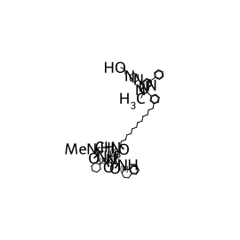 CN[C@@H](C)C(=O)N[C@H](C(=O)N1C[C@@H](NC(=O)CCCCCCCCCCCCc2cccc(-c3c(C)nn4c(N5CCN(CCO)CC5)cc(-c5ccccc5)nc34)c2)C[C@H]1C(=O)N[C@@H]1CCCc2ccccc21)C1CCCCC1